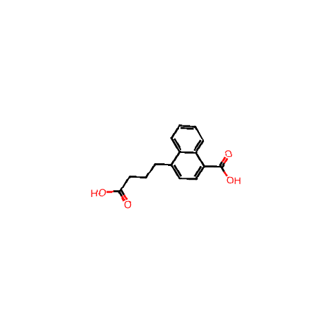 O=C(O)CCCc1ccc(C(=O)O)c2ccccc12